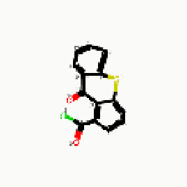 O=C(Cl)c1cccc2sc3ccccc3c(=O)c12